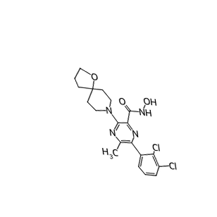 Cc1nc(N2CCC3(CCCO3)CC2)c(C(=O)NO)nc1-c1cccc(Cl)c1Cl